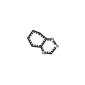 [c]1ccc2nncnc2c1